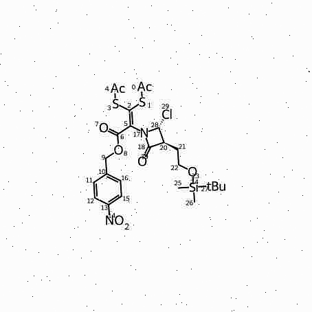 CC(=O)SC(SC(C)=O)=C(C(=O)OCc1ccc([N+](=O)[O-])cc1)N1C(=O)[C@H](CCO[Si](C)(C)C(C)(C)C)[C@H]1Cl